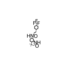 CC1(C)CC(=O)Nc2cc(NC(=O)C=Cc3ccc(C(F)(F)F)cc3)ccc21